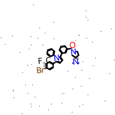 CN(C)[C@@H]1CCN(C(=O)c2cccc(-c3ccc(-c4ccc(Br)cc4)n3-c3ccccc3C(F)(F)F)c2)C1